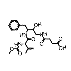 C=C(C)[C@H](NC(=O)OC)C(=O)NC(Cc1ccccc1)C(O)CNC(=O)CCC(=O)O